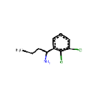 CCCC(N)c1cccc(Cl)c1Cl